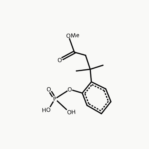 COC(=O)CC(C)(C)c1ccccc1OP(=O)(O)O